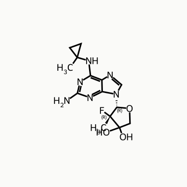 CC1(Nc2nc(N)nc3c2ncn3[C@@H]2OCC(O)(O)[C@]2(C)F)CC1